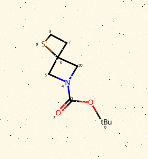 CC(C)(C)OC(=O)N1CC2(CCS2)C1